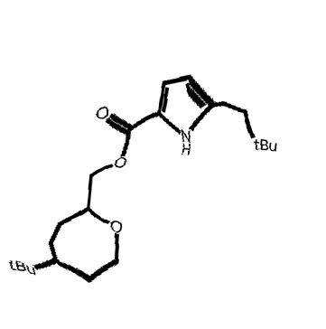 CC(C)(C)Cc1ccc(C(=O)OCC2CC(C(C)(C)C)CCO2)[nH]1